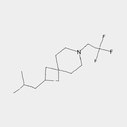 CC(C)CC1CC2(CCN(CC(F)(F)F)CC2)C1